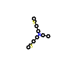 c1ccc(-c2ccc(N(c3ccc(-c4ccc(-c5cc6ccccc6s5)cc4)cc3)c3ccc(-c4ccc(-c5cc6ccccc6s5)cc4)cc3)cc2)cc1